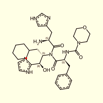 N[C@@H](Cc1c[nH]cn1)C(=O)N(C(=O)[C@H](Cc1ccccc1)NC(=O)N1CCOCC1)[C@@H](CC1CCCCC1)[C@@H](O)c1ncc[nH]1